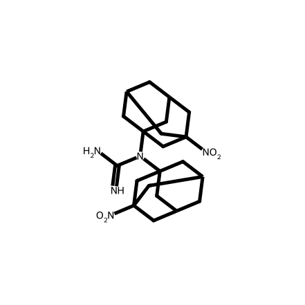 N=C(N)N(C12CC3CC(C1)CC([N+](=O)[O-])(C3)C2)C12CC3CC(C1)CC([N+](=O)[O-])(C3)C2